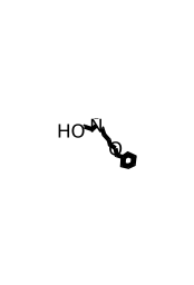 CN(CCO)CCCCOCc1ccccc1